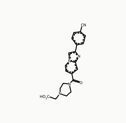 N#Cc1ccc(-c2cn3ccc(C(=O)N4CCN(CC(=O)O)CC4)cc3n2)cc1